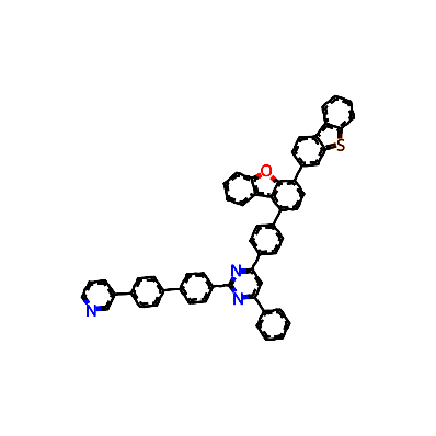 c1ccc(-c2cc(-c3ccc(-c4ccc(-c5ccc6c(c5)sc5ccccc56)c5oc6ccccc6c45)cc3)nc(-c3ccc(-c4ccc(-c5cccnc5)cc4)cc3)n2)cc1